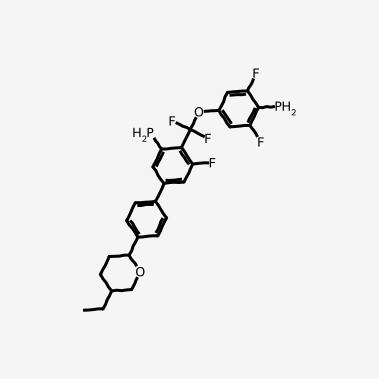 CCC1CCC(c2ccc(-c3cc(F)c(C(F)(F)Oc4cc(F)c(P)c(F)c4)c(P)c3)cc2)OC1